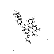 CCC[C@H](C(=O)OCC)N1C(=O)[C@H](Cc2ccc(S(=O)(=O)C(F)(F)F)cc2)O[C@@H](c2ccc(Cl)cc2)[C@H]1c1ccc(Cl)cc1